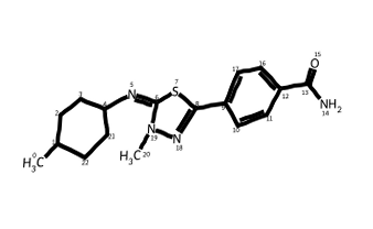 CC1CCC(/N=c2/sc(-c3ccc(C(N)=O)cc3)nn2C)CC1